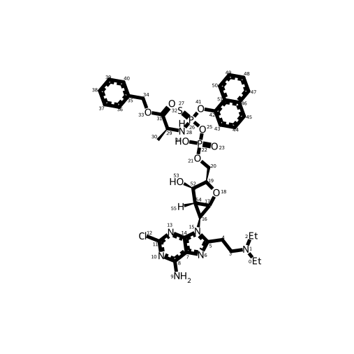 CCN(CC)CCc1nc2c(N)nc(Cl)nc2n1[C@@H]1C2O[C@H](COP(=O)(O)OP(=S)(N[C@@H](C)C(=O)OCc3ccccc3)Oc3cccc4ccccc34)[C@H](O)[C@H]21